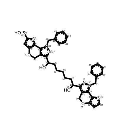 O=S(=O)(O)c1cc2c(s1)-c1c(c(C(O)CCCCCC(O)c3nn(Cc4ccccc4)c4c3COc3ccsc3-4)nn1Cc1ccccc1)CO2